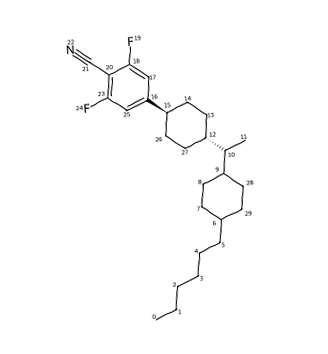 CCCCCCC1CCC(C(C)[C@H]2CC[C@H](c3cc(F)c(C#N)c(F)c3)CC2)CC1